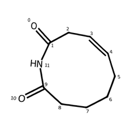 O=C1CC=CCCCCC(=O)N1